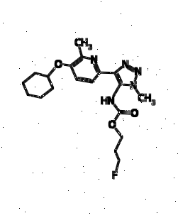 Cc1nc(-c2nnn(C)c2NC(=O)OCCCF)ccc1OC1CCCCC1